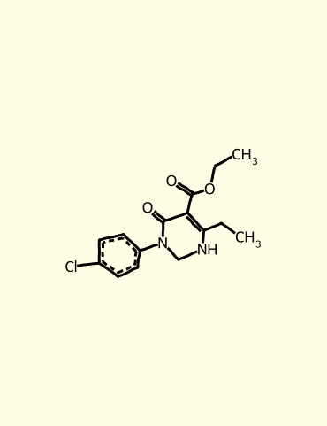 CCOC(=O)C1=C(CC)NCN(c2ccc(Cl)cc2)C1=O